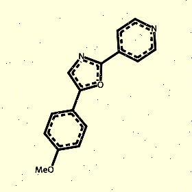 COc1ccc(-c2cnc(-c3ccncc3)o2)cc1